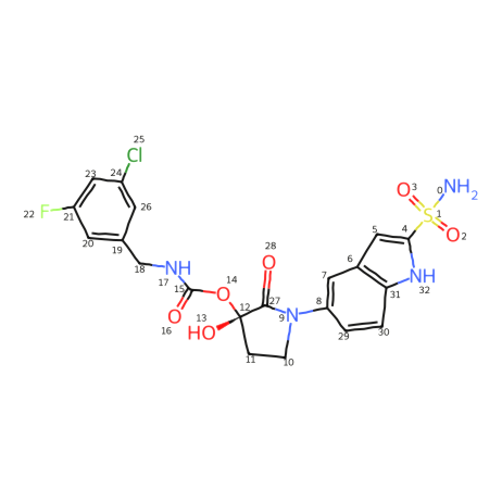 NS(=O)(=O)c1cc2cc(N3CC[C@](O)(OC(=O)NCc4cc(F)cc(Cl)c4)C3=O)ccc2[nH]1